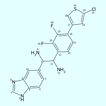 NC(c1ccc2[nH]cnc2c1)C(N)c1ccc(-c2csc(Cl)c2)c(F)c1F